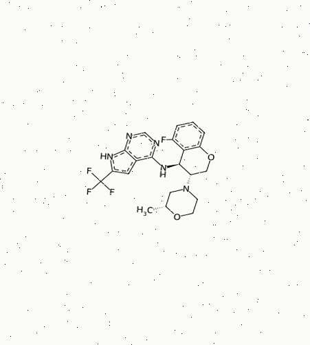 C[C@@H]1CN([C@H]2COc3cccc(F)c3[C@@H]2Nc2ncnc3[nH]c(C(F)(F)F)cc23)CCO1